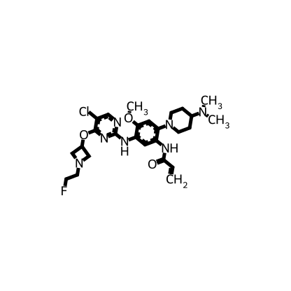 C=CC(=O)Nc1cc(Nc2ncc(Cl)c(OC3CN(CCF)C3)n2)c(OC)cc1N1CCC(N(C)C)CC1